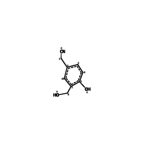 N#CCc1ccc(O)c(CO)c1